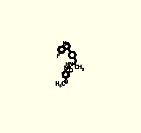 COc1ccc2nc(NC(C)CC3CCC(c4ccnc5ccc(F)cc45)CC3)oc2c1